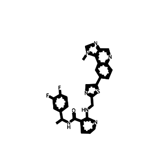 CC(NC(=O)c1cccnc1NCc1ncc(-c2ccc3ncc4ncn(C)c4c3c2)s1)c1ccc(F)c(F)c1